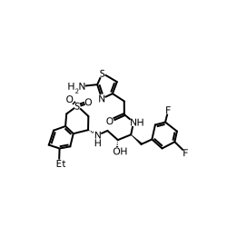 CCc1ccc2c(c1)[C@@H](NC[C@@H](O)[C@H](Cc1cc(F)cc(F)c1)NC(=O)Cc1csc(N)n1)CS(=O)(=O)C2